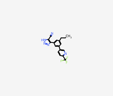 CCCc1cc(-c2ccc(C(F)(F)F)nc2)cc(-c2nn[nH]c2C#N)c1